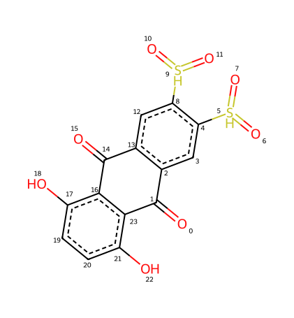 O=C1c2cc([SH](=O)=O)c([SH](=O)=O)cc2C(=O)c2c(O)ccc(O)c21